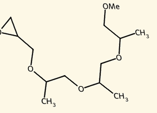 COCC(C)OCC(C)OCC(C)OCC1CO1